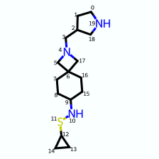 C1CC(CN2CC3(CCC(NSC4CC4)CC3)C2)CN1